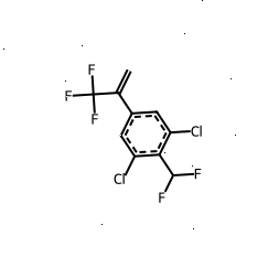 C=C(c1cc(Cl)c(C(F)F)c(Cl)c1)C(F)(F)F